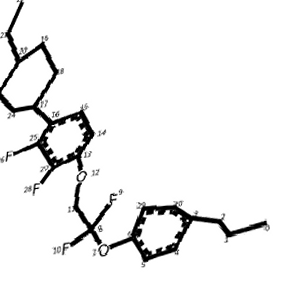 CCCc1ccc(OC(F)(F)COc2ccc(C3CCC(CC)CC3)c(F)c2F)cc1